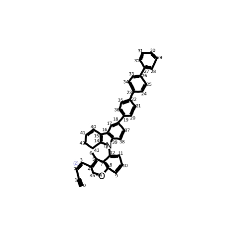 C#C/C=C\C1=C(C)c2c(cccc2-n2c3c(c4cc(-c5ccc(-c6ccc(-c7ccccc7)cc6)cc5)ccc42)C=CCC3)OC1